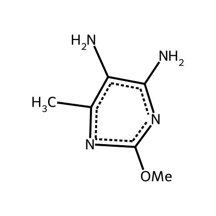 COc1nc(C)c(N)c(N)n1